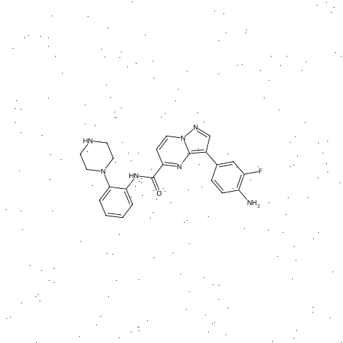 Nc1ccc(-c2cnn3ccc(C(=O)Nc4ccccc4N4CCNCC4)nc23)cc1F